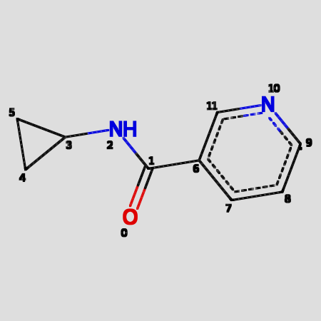 O=C(NC1CC1)c1cc[c]nc1